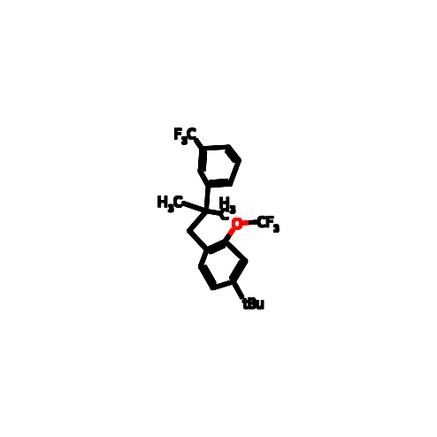 CC(C)(C)c1ccc(CC(C)(C)c2cccc(C(F)(F)F)c2)c(OC(F)(F)F)c1